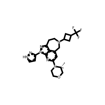 C[C@@H]1COCCN1c1cc2c3c(nn(-c4cc[nH]n4)c3n1)CCN(C1CC(C(F)(F)F)C1)C2